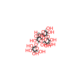 CC(C)[C@@H]1O[C@H](CO)[C@@H](O)[C@H](O[C@@H]2O[C@H](CO)[C@@H](O)[C@H](O)[C@H]2O)[C@H]1O[C@@H]1O[C@H](CO[C@@H]2O[C@H](CO)[C@@H](O)[C@H](O)[C@H]2O)[C@@H](O)[C@H](O)[C@H]1O